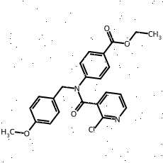 CCOC(=O)c1ccc(N(Cc2ccc(OC)cc2)C(=O)c2cccnc2Cl)cc1